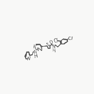 O=C(NCCc1ccc(Cl)cc1Cl)c1ccc(-c2ccnc(NCCc3ccccn3)n2)s1